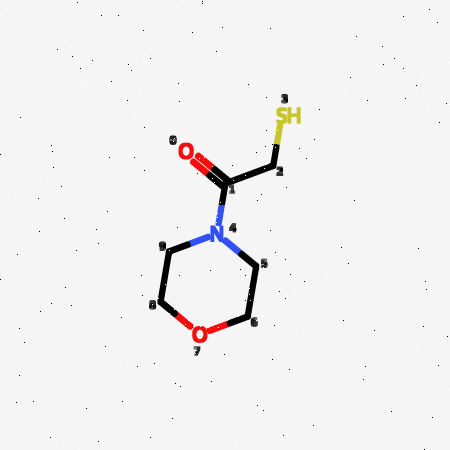 O=C(CS)N1CCOCC1